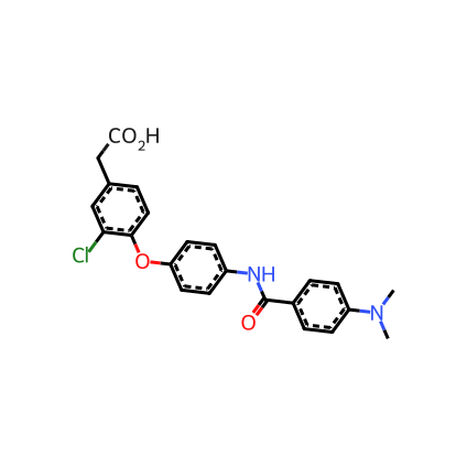 CN(C)c1ccc(C(=O)Nc2ccc(Oc3ccc(CC(=O)O)cc3Cl)cc2)cc1